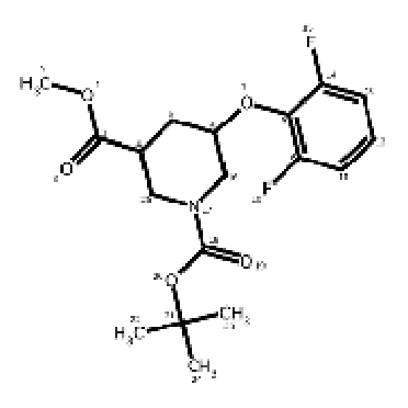 COC(=O)C1CC(Oc2c(F)cccc2F)CN(C(=O)OC(C)(C)C)C1